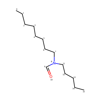 CCCCCCCCN(C=O)CCCCC